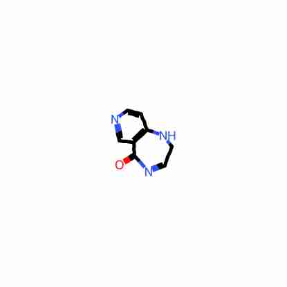 O=C1N=CCNc2ccncc21